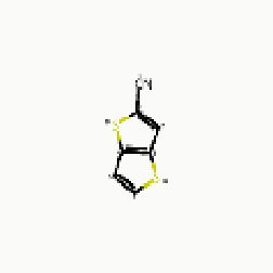 N#Cc1cc2sccc2s1